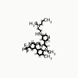 CCCN(C)CCNc1cncc(/C(=C/N(C)c2cc(-c3ccnc(C(F)(F)F)c3)ccc2C)N=N)c1